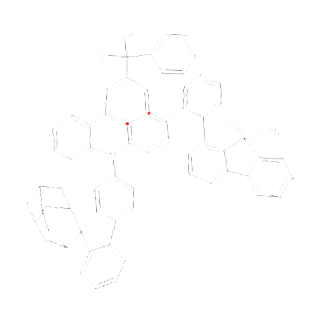 CC1(C)c2ccccc2-c2ccc(-c3ccccc3N(c3ccc(-c4ccccc4-c4cccc5c4C(C)(C)c4ccccc4-5)cc3)c3ccc4c(c3)C3(c5ccccc5-4)C4CC5CC(C4)CC3C5)cc21